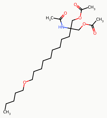 CCCCCOCCCCCCCCCC(COC(C)=O)(COC(C)=O)NC(C)=O